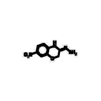 NN=C1COc2cc([N+](=O)[O-])ccc2N1